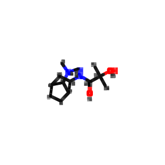 CN(C)C1C2CCC1C(NC(=O)C(C)(C)O)C2